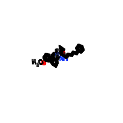 COc1cccc(C23CCCCC2[C@@H](NC(=O)CCCCCc2ccccc2)[N@+](C)(CC2CC2)CC3)c1